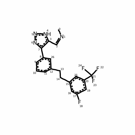 C/N=C\c1[nH]nnc1-c1cccc(CCc2cc(F)cc(C(F)(F)F)c2)c1